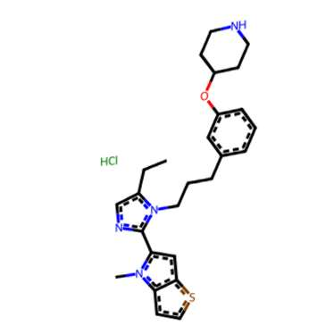 CCc1cnc(-c2cc3sccc3n2C)n1CCCc1cccc(OC2CCNCC2)c1.Cl